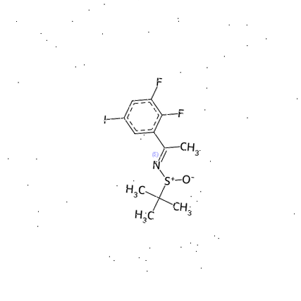 C/C(=N\[S+]([O-])C(C)(C)C)c1cc(I)cc(F)c1F